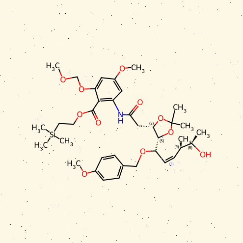 COCOc1cc(OC)cc(NC(=O)C[C@@H]2OC(C)(C)O[C@@H]2C(/C=C\[C@@H](C)[C@@H](C)O)OCc2ccc(OC)cc2)c1C(=O)OCC[Si](C)(C)C